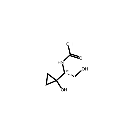 O=C(O)N[C@H](CO)C1(O)CC1